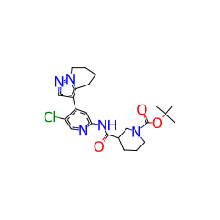 CC(C)(C)OC(=O)N1CCCC(C(=O)Nc2cc(-c3cnn4c3CCCC4)c(Cl)cn2)C1